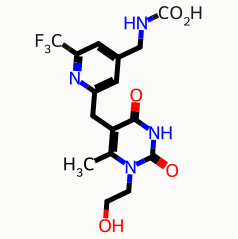 Cc1c(Cc2cc(CNC(=O)O)cc(C(F)(F)F)n2)c(=O)[nH]c(=O)n1CCO